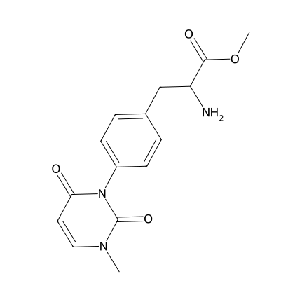 COC(=O)C(N)Cc1ccc(-n2c(=O)ccn(C)c2=O)cc1